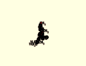 Cc1ccc(S(=O)(=O)n2ccc3c(-c4ccc5nc(N6CCC(N7C[C@@H](C)N(C(=O)O)C[C@@H]7C)CC6)nc(C(COC6CCCCO6)(c6ccccc6)c6ccccc6)c5c4)cn(C)c(=O)c32)cc1